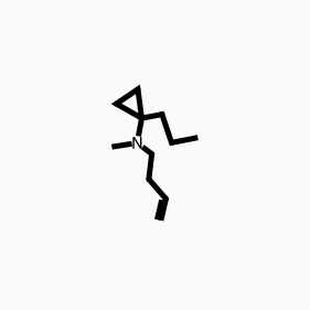 C=CCCN(C)C1(CCC)CC1